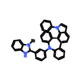 CCN1c2ccccc2NC1c1cccc(N2c3ccccc3-c3ccc4ccn(-c5ccccc5)c4c3-c3ccccc32)c1